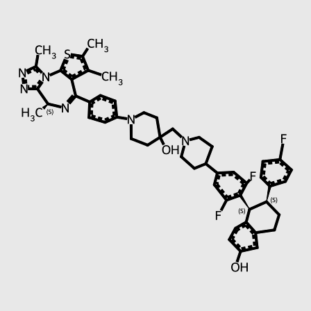 Cc1sc2c(c1C)C(c1ccc(N3CCC(O)(CN4CCC(c5cc(F)c([C@@H]6c7ccc(O)cc7CC[C@@H]6c6ccc(F)cc6)c(F)c5)CC4)CC3)cc1)=N[C@@H](C)c1nnc(C)n1-2